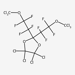 FC(F)(OC(Cl)(Cl)Cl)C(F)(F)C1(C(F)(F)C(F)(F)OC(Cl)(Cl)Cl)OC(Cl)(Cl)C(Cl)(Cl)O1